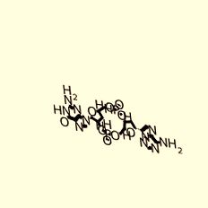 Nc1nc2c(ncn2[C@@H]2O[C@@H]3CO[PH](=O)O[C@H]4C[C@H](c5cnc6c(N)ncnn56)O[C@@H]4CO[PH](=O)O[C@@H]2C3)c(=O)[nH]1